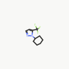 FC(F)(F)c1ccnn1C1CCCCC1